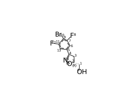 OC[C@H]1CC(c2cc(F)c(Br)c(F)c2)=NO1